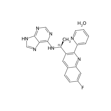 C[C@H](Nc1ncnc2[nH]cnc12)c1cc2ccc(F)cc2nc1-c1ccccn1.O